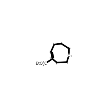 CCOC(=O)C1=CCCCCCC1